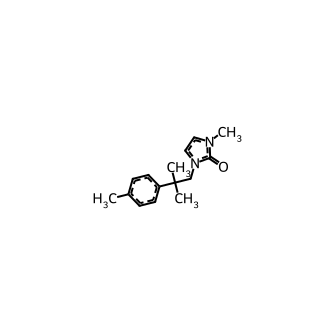 Cc1ccc(C(C)(C)Cn2ccn(C)c2=O)cc1